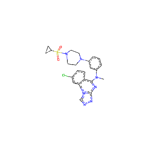 CN(c1cccc(N2CCN(S(=O)(=O)C3CC3)CC2)c1)c1nc2nncn2c2cc(Cl)ccc12